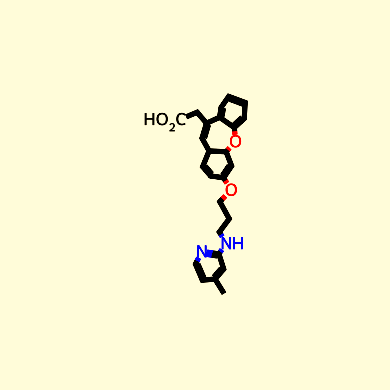 Cc1ccnc(NCCCOC2=CC3Oc4ccccc4C(CC(=O)O)=CC3C=C2)c1